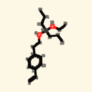 C=Cc1ccc(CCO[Si](CCC)(CCC)OCC)cc1